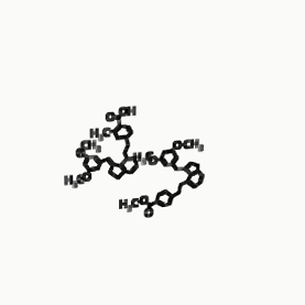 COC(=O)c1ccc(CCc2cccc3c2C(Cc2cc(OC)cc(OC)c2)=CC3)cc1.COc1cc(C=C2CCc3cccc(CCc4ccc(C(=O)O)c(C)c4)c32)cc(OC)c1